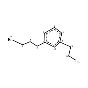 BrCCCc1cccc(CCI)c1